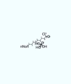 CCCCCCCCCCCCCCCCCC(=O)Cl.O=P(O)(O)O